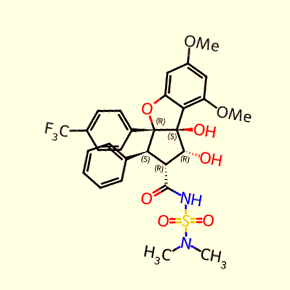 COc1cc(OC)c2c(c1)O[C@@]1(c3ccc(C(F)(F)F)cc3)[C@H](c3ccccc3)[C@@H](C(=O)NS(=O)(=O)N(C)C)[C@@H](O)[C@@]21O